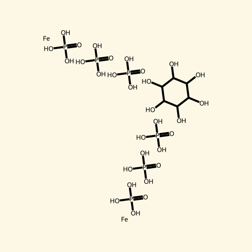 O=P(O)(O)O.O=P(O)(O)O.O=P(O)(O)O.O=P(O)(O)O.O=P(O)(O)O.O=P(O)(O)O.OC1C(O)C(O)C(O)C(O)C1O.[Fe].[Fe]